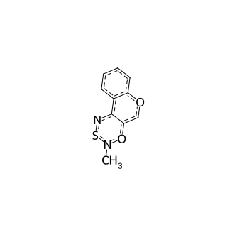 Cn1oc2coc3ccccc3c-2ns1